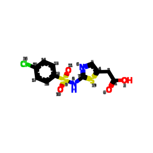 O=C(O)Cc1cnc(NS(=O)(=O)c2ccc(Cl)cc2)s1